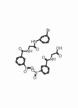 O=C(CNC(=O)c1cccc([N+](=O)[O-])c1)Nc1cccc(Br)c1.O=C(O)CNC(=O)c1cccc([N+](=O)[O-])c1